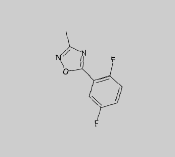 Cc1noc(-c2cc(F)ccc2F)n1